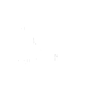 O=C(CNc1ccccc1)Nc1c(Cl)cccc1C(=O)O